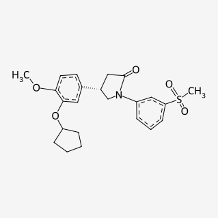 COc1ccc([C@@H]2CC(=O)N(c3cccc(S(C)(=O)=O)c3)C2)cc1OC1CCCC1